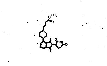 COC(=O)CCCN1CCN(c2cccc3c2C(=O)N(C2CCC(=O)NC2=O)C3=O)CC1